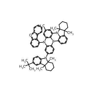 Cc1cc2c3c(c1)N1c4c(cccc4C4(C)CCCCC14C)B3c1ccc(N3c4ccc(C(C)(C)C)cc4C4(C)CCCCC34C)cc1N2c1cccc2oc3ccccc3c12